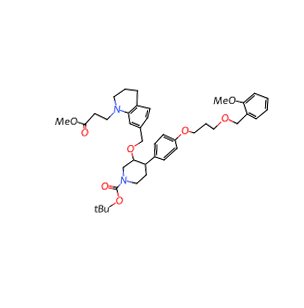 COC(=O)CCN1CCCc2ccc(COC3CN(C(=O)OC(C)(C)C)CCC3c3ccc(OCCCOCc4ccccc4OC)cc3)cc21